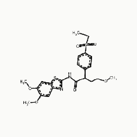 CCS(=O)(=O)c1ccc(C(CCOC)C(=O)Nc2nc3cc(OC)c(OC)cc3s2)cc1